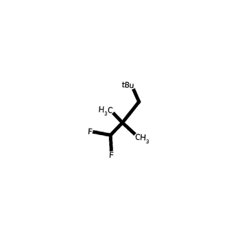 CC(C)(C)CC(C)(C)C(F)F